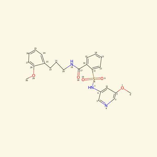 COc1cncc(NS(=O)(=O)c2ccccc2C(=O)NCCCc2ccccc2OC)c1